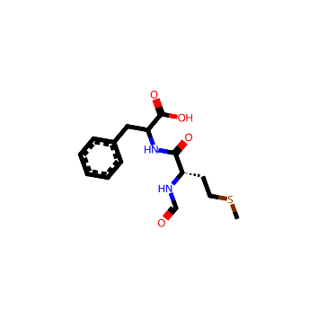 CSCC[C@H](NC=O)C(=O)NC(Cc1ccccc1)C(=O)O